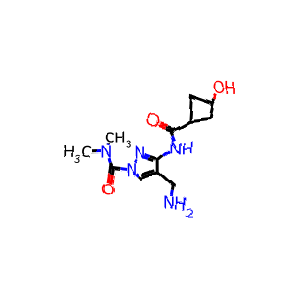 CN(C)C(=O)n1cc(CN)c(NC(=O)C2CC(O)C2)n1